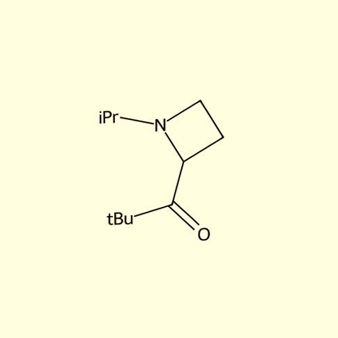 CC(C)N1CCC1C(=O)C(C)(C)C